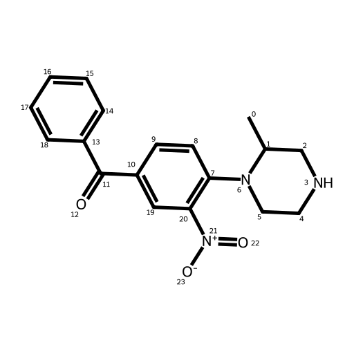 CC1CNCCN1c1ccc(C(=O)c2ccccc2)cc1[N+](=O)[O-]